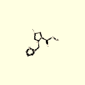 C[C@H]1C[C@H](Cn2cccn2)N(C(=O)OC(C)(C)C)C1